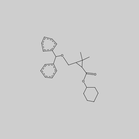 CC1(C)C(COC(c2ccccc2)c2ccccc2)C1C(=O)OC1CCCCC1